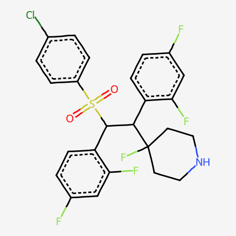 O=S(=O)(c1ccc(Cl)cc1)C(c1ccc(F)cc1F)C(c1ccc(F)cc1F)C1(F)CCNCC1